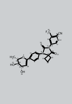 C[C@@H]1OC(c2ccc(N3C(=S)N(c4cnc(C#N)c(C(F)(F)F)c4)C(=O)C34CCC4)cc2)=C[C@H](O)[C@H]1O